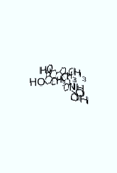 CC(CCC(=O)NCC(=O)O)C1CCC2C3C[C@H](O)[C@@H]4C[C@H](O)CC[C@]4(C)C3CC[C@]12C